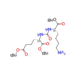 CC(C)COC(=O)[C@H](CCCCN)NC(=O)N[C@@H](CCCC(=O)OC(C)(C)C)C(=O)OC(C)(C)C